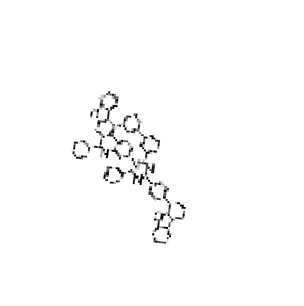 c1ccc(-c2nc(-c3ccc(-c4cccc5c4oc4ccccc45)cc3)nc(-c3cccc(-c4cccc(-c5c6c(cc7c(-c8ccccc8)nc8ccccc8c57)oc5ccccc56)c4)c3)n2)cc1